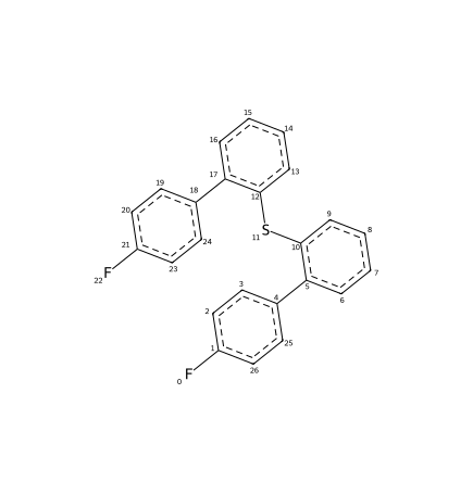 Fc1ccc(-c2ccccc2Sc2ccccc2-c2ccc(F)cc2)cc1